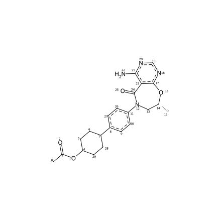 CC(=O)OC1CCC(c2ccc(N3C[C@@H](C)Oc4ncnc(N)c4C3=O)cc2)CC1